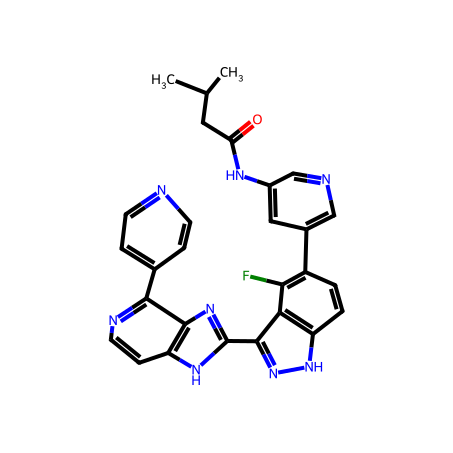 CC(C)CC(=O)Nc1cncc(-c2ccc3[nH]nc(-c4nc5c(-c6ccncc6)nccc5[nH]4)c3c2F)c1